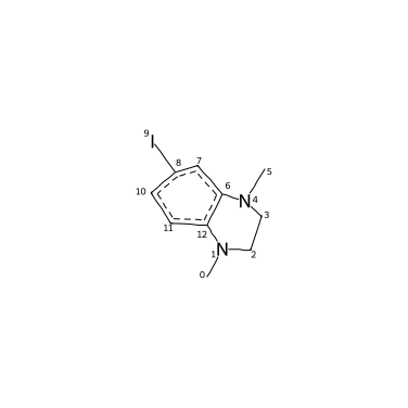 CN1CCN(C)c2cc(I)ccc21